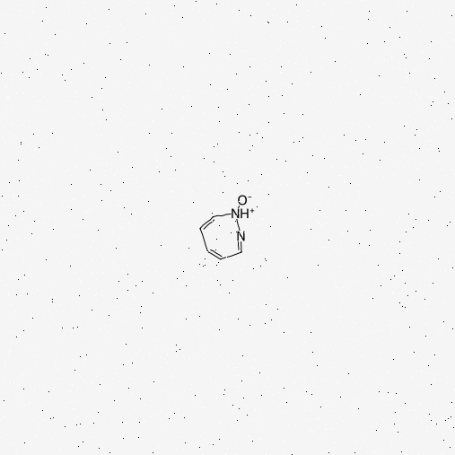 [O-][NH+]1C=CC=CC=N1